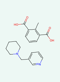 Cc1c(C(=O)O)cccc1C(=O)O.c1cncc(CN2CCCCC2)c1